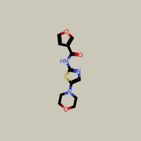 O=C(Nc1ncc(N2CCOCC2)s1)c1ccoc1